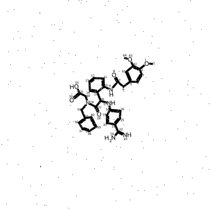 COc1ccc(CC(=O)Nc2ccccc2C(Nc2ccc(C(=N)N)cc2)C(=O)N(CC(=O)O)Cc2ccccc2)cc1OC